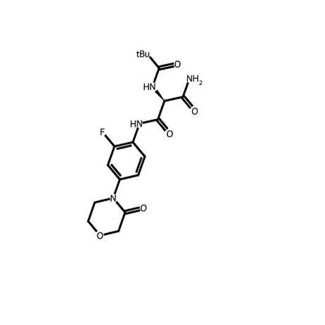 CC(C)(C)C(=O)N[C@@H](C(N)=O)C(=O)Nc1ccc(N2CCOCC2=O)cc1F